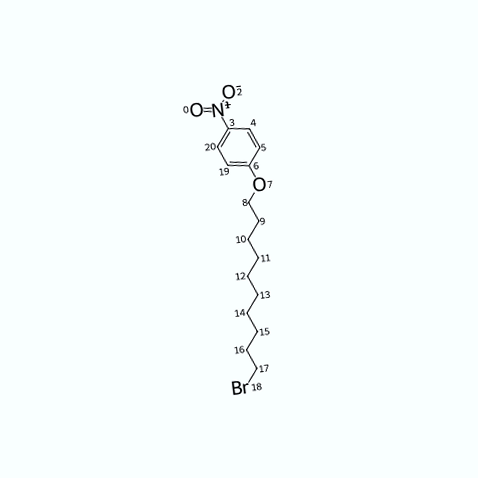 O=[N+]([O-])c1ccc(OCCCCCCCCCCBr)cc1